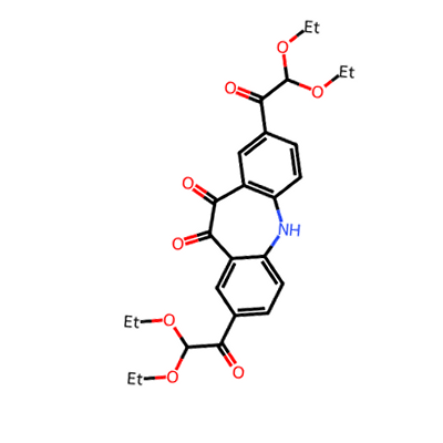 CCOC(OCC)C(=O)c1ccc2[nH]c3ccc(C(=O)C(OCC)OCC)cc3c(=O)c(=O)c2c1